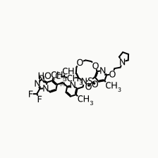 Cc1ccc([C@H](c2ccn3c(C(F)F)nnc3c2C)C(C)(C)C(=O)O)nc1CN1CCCOCCOc2nc(OCCN3CCCC3)c(C)cc2S1(=O)=O